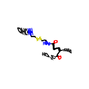 CSC(CCC(=O)NCCSSCCNC=O)C(=O)C(=O)O